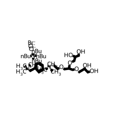 CCCC[N+](CCCC)(CCCC)CCCC.C[N+](C)(C)CCOCC(COCC(O)CO)OCC(O)CO.C[N+](C)(C)Cc1ccccc1.[Br-].[Cl-].[Cl-]